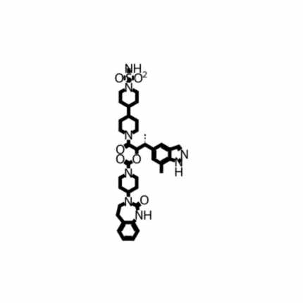 Cc1cc([C@@H](C)C(OC(=O)N2CCC(N3CCc4ccccc4NC3=O)CC2)C(=O)N2CCC(C3CCN(S(N)(=O)=O)CC3)CC2)cc2cn[nH]c12